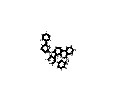 c1ccc(-c2cccc(-n3c4ccccc4c4c3ccc3c5ccccc5c5nc6ccccc6n5c34)n2)cc1